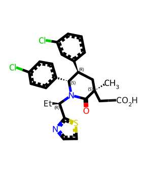 CC[C@H](c1nccs1)N1C(=O)[C@](C)(CC(=O)O)C[C@H](c2cccc(Cl)c2)[C@H]1c1ccc(Cl)cc1